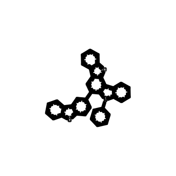 c1ccc(-n2c3ccccc3c3c4oc5ccccc5c4cc(-c4ccc5oc6ccccc6c5c4)c32)cc1